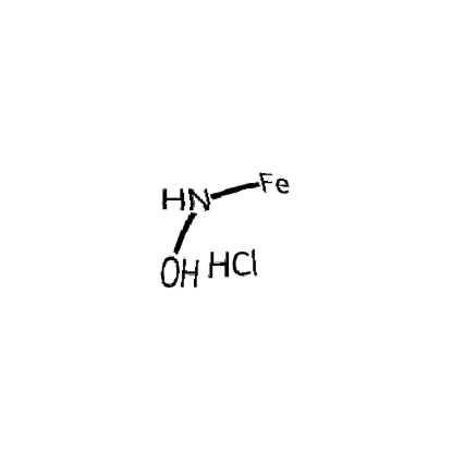 Cl.O[NH][Fe]